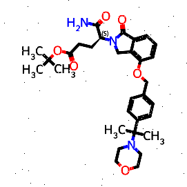 CC(C)(C)OC(=O)CC[C@@H](C(N)=O)N1Cc2c(OCc3ccc(C(C)(C)N4CCOCC4)cc3)cccc2C1=O